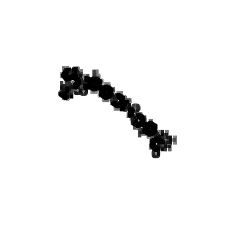 O=C1CC[C@H](Nc2ccc(C3CCN(CC(=O)N4CC5(CCN(c6ccc(-c7cc(F)c8c(c7)C(=O)N(C(C(=O)Nc7nccs7)c7ncn9c7CCC9)C8)cc6)CC5)C4)CC3)c(F)c2)C(O)N1